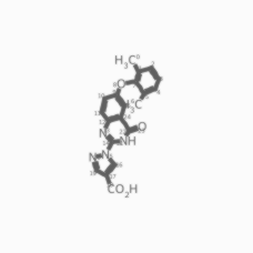 Cc1cccc(C)c1Oc1ccc2nc(-n3cc(C(=O)O)cn3)[nH]c(=O)c2c1